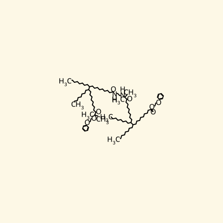 CCCCCCCCC(CCCCCCCCC(=O)NCCNC(C)(CC)C(=O)CCCCCCCCC(CCCCCCCC)C(CCCCCCCC)CCCCCCCCC(=O)OCCOc1ccccc1)C(CCCCCCCC)CCCCCCCCC(=O)C(C)(CC)OCCOc1ccccc1